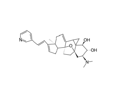 CN(C)[C@H]1C[C@@]23CC[C@@]4(O2)C(=CC[C@]2(C)C(/C=C/c5cccnc5)=CCC24)C2CC23[C@@H](O)[C@@H]1O